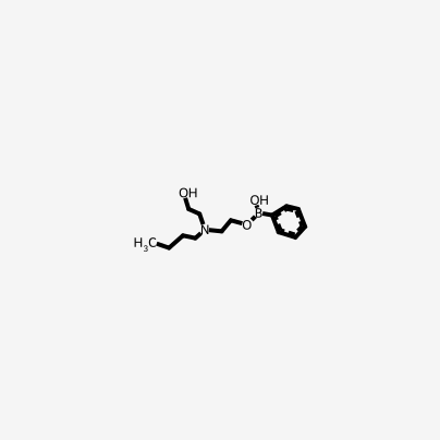 CCCCN(CCO)CCOB(O)c1ccccc1